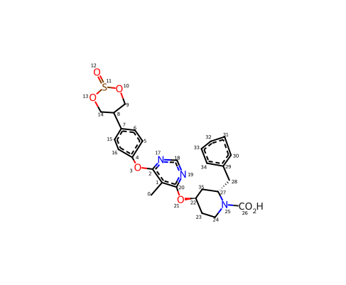 Cc1c(Oc2ccc(C3COS(=O)OC3)cc2)ncnc1O[C@@H]1CCN(C(=O)O)[C@@H](Cc2ccccc2)C1